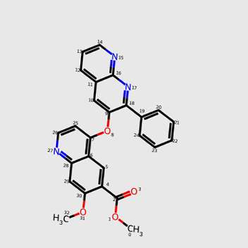 COC(=O)c1cc2c(Oc3cc4cccnc4nc3-c3ccccc3)ccnc2cc1OC